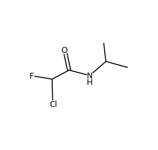 CC(C)NC(=O)C(F)Cl